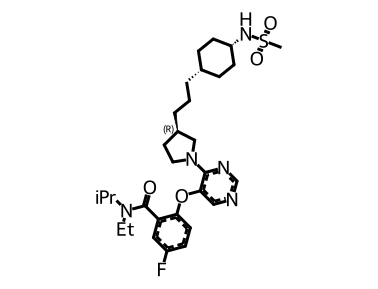 CCN(C(=O)c1cc(F)ccc1Oc1cncnc1N1CC[C@@H](CCC[C@H]2CC[C@@H](NS(C)(=O)=O)CC2)C1)C(C)C